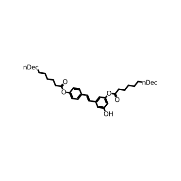 CCCCCCCCCCCCCCCC(=O)Oc1ccc(C=Cc2cc(O)cc(OC(=O)CCCCCCCCCCCCCCC)c2)cc1